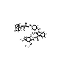 COc1cc(C)[nH]c(=O)c1CNC(=O)c1c(C)n(CC2CCN(CCNC(=O)CC34CC5CC(CC(C5)C3)C4)CC2)c2ccccc12